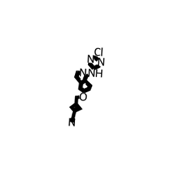 N#CC12CC(COc3ccc4c(Nc5cnc(Cl)nc5)nccc4c3)(C1)C2